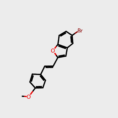 COc1ccc(C=Cc2cc3cc(Br)ccc3o2)cc1